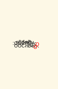 CCCCCCCCCCCC(=O)[O-].CCCCCCCCCCCC(=O)[O-].CCCCOC(C)=O.CCC[CH2][Sn+2][CH2]CCC